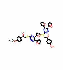 COc1ccc(C(=O)CSc2nnc(-c3ccco3)c(-c3ccc([SH](CC(=O)c4ccc(O)cc4)c4nnc(-c5ccco5)c(-c5ccco5)n4)o3)n2)cc1